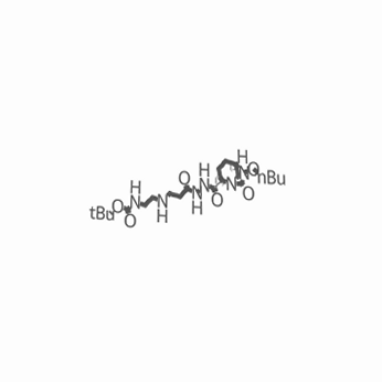 CCCCON1C(=O)N2C[C@@H]1CC[C@H]2C(=O)NNC(=O)CCNCCNC(=O)OC(C)(C)C